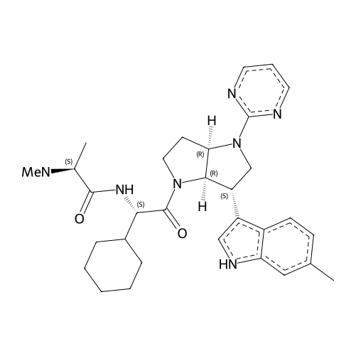 CN[C@@H](C)C(=O)N[C@H](C(=O)N1CC[C@@H]2[C@H]1[C@@H](c1c[nH]c3cc(C)ccc13)CN2c1ncccn1)C1CCCCC1